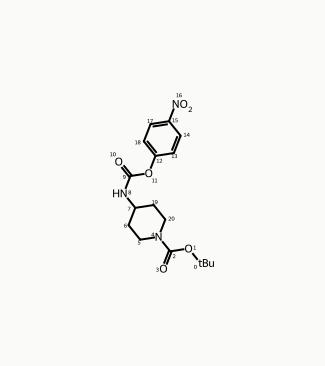 CC(C)(C)OC(=O)N1CCC(NC(=O)Oc2ccc([N+](=O)[O-])cc2)CC1